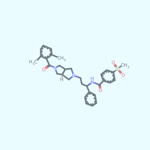 Cc1cccc(C)c1C(=O)N1CC2CN(CCC(NC(=O)c3ccc(S(C)(=O)=O)cc3)c3ccccc3)C[C@H]2C1